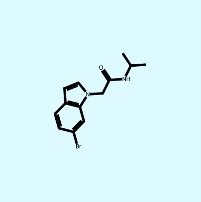 CC(C)NC(=O)Cn1ccc2ccc(Br)cc21